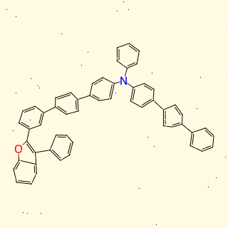 c1ccc(-c2ccc(-c3ccc(N(c4ccccc4)c4ccc(-c5ccc(-c6cccc(-c7oc8ccccc8c7-c7ccccc7)c6)cc5)cc4)cc3)cc2)cc1